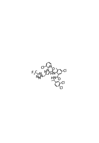 Cc1cc(Cl)cc(C(=O)NC(C)c2ccc(Cl)c(Cl)c2)c1NC(=O)c1cc(Cn2nnc(C(F)(F)F)n2)nn1-c1ncccc1Cl